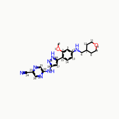 COc1cc(NCC2CCOCC2)ccc1-c1cc(Nc2cnc(C#N)cn2)n[nH]1